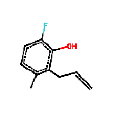 C=CCc1c(C)ccc(F)c1O